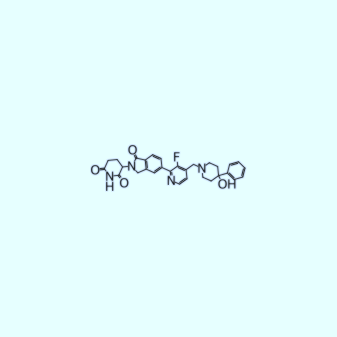 O=C1CCC(N2Cc3cc(-c4nccc(CN5CCC(O)(c6ccccc6)CC5)c4F)ccc3C2=O)C(=O)N1